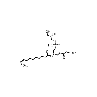 CCCCCCCC/C=C\CCCCCCCC(=O)O[C@H](COC(=O)CCCCCCCCCCC)COP(=O)(O)OC[C@@H](O)CO